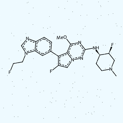 COc1nc(N[C@@H]2CCN(C)C[C@@H]2F)nn2cc(F)c(-c3ccc4ncn(CCF)c4c3)c12